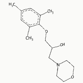 Cc1cc(C)c(OCC(O)CN2CCOCC2)c(C)c1